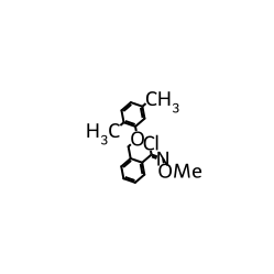 CO/N=C(/Cl)c1ccccc1COc1cc(C)ccc1C